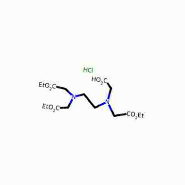 CCOC(=O)CN(CCN(CC(=O)OCC)CC(=O)OCC)CC(=O)O.Cl